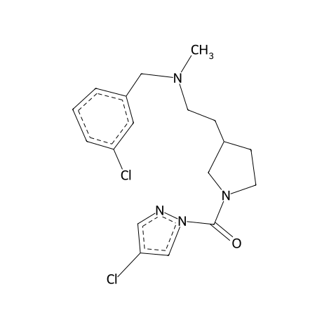 CN(CCC1CCN(C(=O)n2cc(Cl)cn2)C1)Cc1cccc(Cl)c1